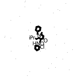 Cc1cc(=O)c(C(=O)Nc2ccccc2Cl)c(CC(C)C)n1Cc1ccccc1